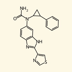 NC(=O)N(c1ccc2nc(-c3cscn3)[nH]c2c1)C1CC1c1ccccc1